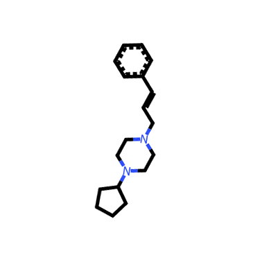 C(=C\c1ccccc1)/CN1CCN(C2CCCC2)CC1